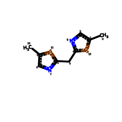 Cc1cnc(Cc2ncc(C)s2)s1